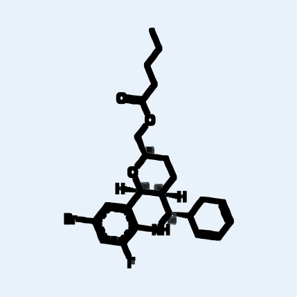 CCCCC(=O)OC[C@H]1CC[C@@H]2[C@H](O1)c1cc(Br)cc(F)c1N[C@H]2C1C=CC=CC1